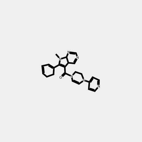 CN1C(C2=CC=CCC2)=C(C(=O)N2C=CN(c3ccncc3)CC2)C2C=NC=NC21